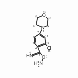 N=C(ON)c1ccc(N2CCOCC2)cc1Cl